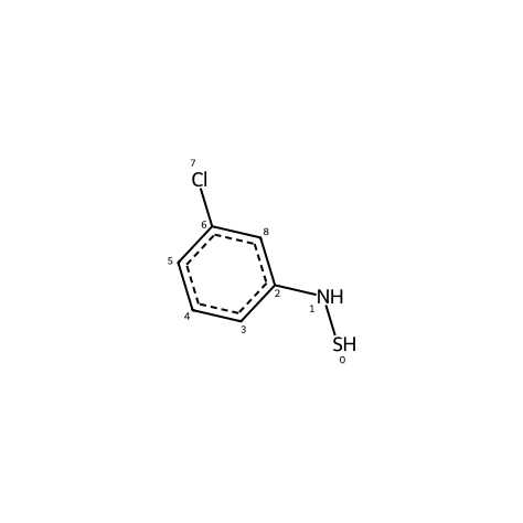 SNc1cccc(Cl)c1